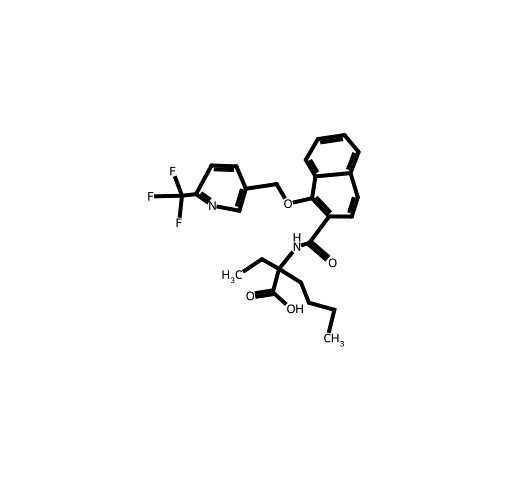 CCCCC(CC)(NC(=O)c1ccc2ccccc2c1OCc1ccc(C(F)(F)F)nc1)C(=O)O